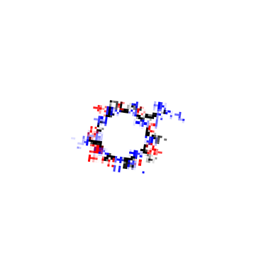 CC[C@H](C)[C@@H]1NC(=O)[C@@H](CCCNC(=N)N)NC(=O)[C@H](CC(C)C)NC(=O)[C@H]([C@H](O)C(C)C)NC(=O)[C@@H](N)[C@@H](C(C)C)NC(=O)C(CO)NC(=O)C([C@H](O)C(N)=O)NC(=O)CNC(=O)[C@H]([C@H](C)O)NC1=O